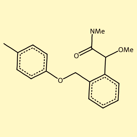 CNC(=O)C(OC)c1ccccc1COc1ccc(C)cc1